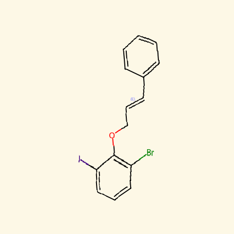 Brc1cccc(I)c1OC/C=C/c1ccccc1